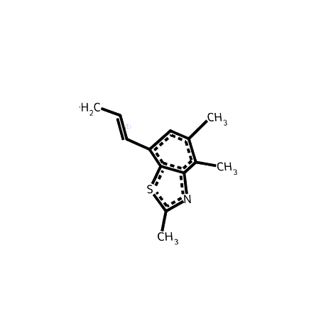 [CH2]/C=C/c1cc(C)c(C)c2nc(C)sc12